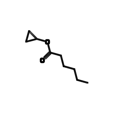 CCCCCC(=O)OC1CC1